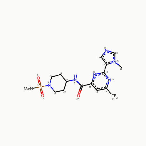 CNS(=O)(=O)N1CCC(NC(=O)c2cc(C(F)(F)F)nc(-c3cncn3C)n2)CC1